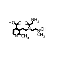 Cc1nccc(C(=O)O)c1CCN(CCN(C)C)C(=O)CN